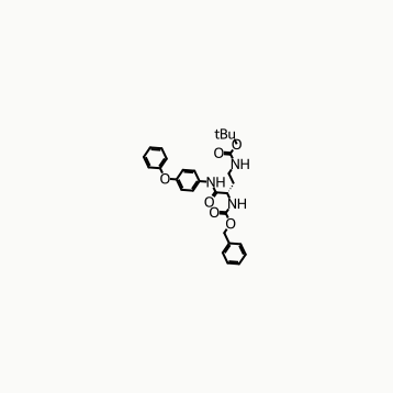 CC(C)(C)OC(=O)NCC[C@H](NC(=O)OCc1ccccc1)C(=O)Nc1ccc(Oc2ccccc2)cc1